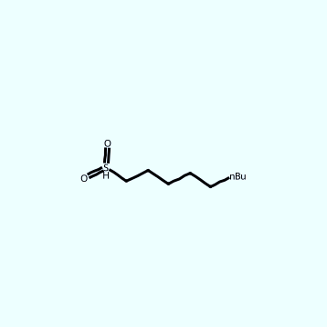 CCCCCCCCC[SH](=O)=O